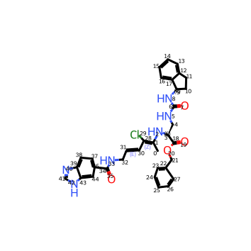 C/C(N[C@@H](CNC(=O)N[C@@H]1CCc2ccccc21)C(=O)OCc1ccccc1)=C(Cl)\C=C\CNC(=O)c1ccc2nc[nH]c2c1